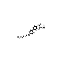 CCCCCOc1ccc(-c2ccc(O[C@H](C)C(=O)O)cc2)cc1